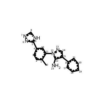 Cc1ccc(-c2nnc[nH]2)cc1-n1ncc(-c2[c]cccc2)c1N